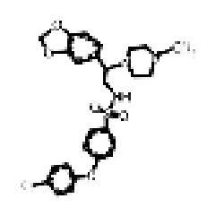 CN1CCN(C(CNS(=O)(=O)c2ccc(Oc3ccc(Cl)cc3)cc2)c2ccc3c(c2)OCO3)CC1